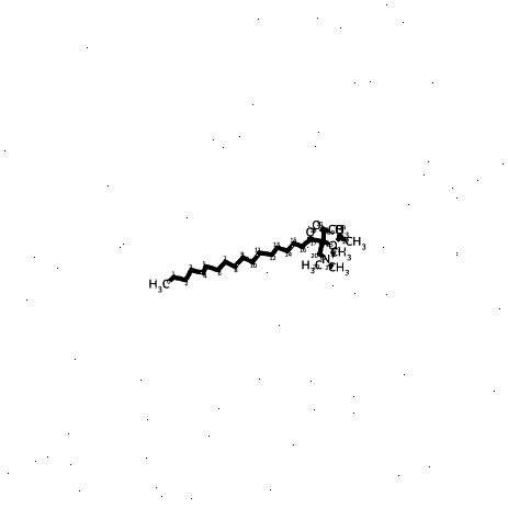 CCCCCCCCCCCCCCCCCC(=O)C(C[N+](C)(C)C)(OC(C)=O)C(C)=O